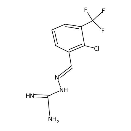 N=C(N)NN=Cc1cccc(C(F)(F)F)c1Cl